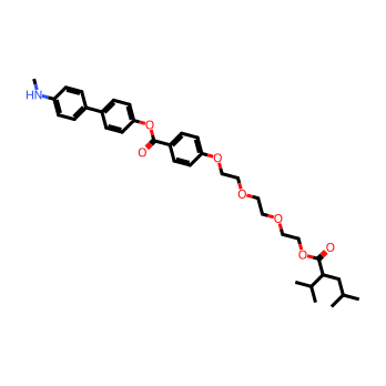 CNc1ccc(-c2ccc(OC(=O)c3ccc(OCCOCCOCCOC(=O)C(CC(C)C)C(C)C)cc3)cc2)cc1